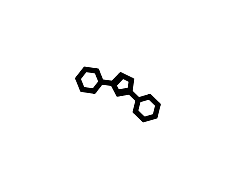 C1=C(C2CCCCC2)C=C(C2CCCCC2)C1